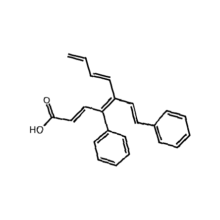 C=CC=CC(C=Cc1ccccc1)=C(C=CC(=O)O)c1ccccc1